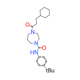 CC(C)(C)c1ccc(NC(=O)N2CCCN(C(=O)CCC3CCCCC3)CC2)cc1